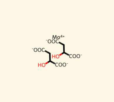 O=C([O-])CC(O)C(=O)[O-].O=C([O-])CC(O)C(=O)[O-].[Mo+4]